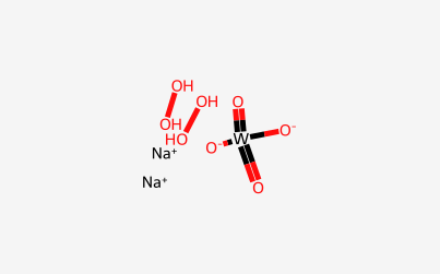 OO.OO.[Na+].[Na+].[O]=[W](=[O])([O-])[O-]